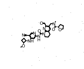 CO[C@H]1CC[C@H]1Nc1cc(NC(=O)N2CCCc3cc(CN(C)C(=O)[C@H]4CCCO4)c(C=O)nc32)ncc1C#N